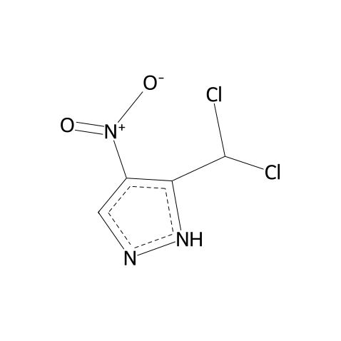 O=[N+]([O-])c1cn[nH]c1C(Cl)Cl